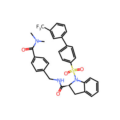 CN(C)C(=O)c1ccc(CNC(=O)[C@@H]2Cc3ccccc3N2S(=O)(=O)c2ccc(-c3cccc(C(F)(F)F)c3)cc2)cc1